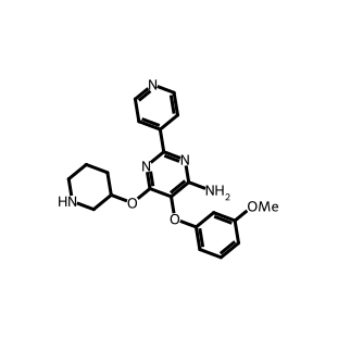 COc1cccc(Oc2c(N)nc(-c3ccncc3)nc2OC2CCCNC2)c1